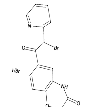 Br.O=C1COc2ccc(C(=O)C(Br)c3ccccn3)cc2N1